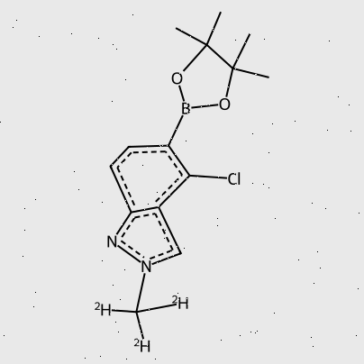 [2H]C([2H])([2H])n1cc2c(Cl)c(B3OC(C)(C)C(C)(C)O3)ccc2n1